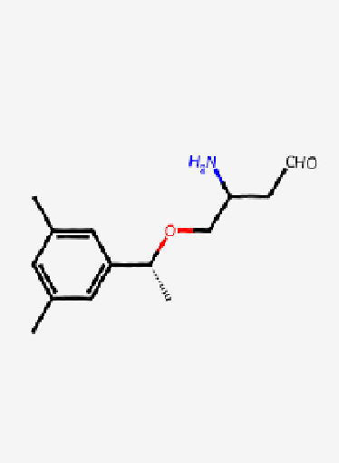 Cc1cc(C)cc([C@@H](C)OCC(N)CC=O)c1